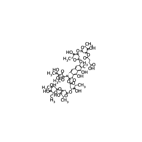 CO[C@H](C(=O)[C@@H](O)[C@@H](C)O)[C@@H]1Cc2cc3cc(O[C@H]4C[C@@H](O[C@H]5C[C@@H](OC(=O)CCC(=O)O)[C@H](O)C(C)O5)[C@H](O)C(C)O4)c(C)c(O)c3c(O)c2C(=O)[C@H]1O[C@H]1CC(O[C@H]2C[C@@H](O[C@H]3C[C@](C)(O)[C@H](O)C(C)O3)[C@@H](O)C(C)O2)[C@H](O)C(C)O1